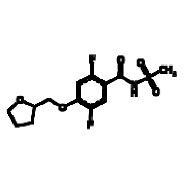 CS(=O)(=O)NC(=O)c1cc(F)c(OCC2CCCO2)cc1F